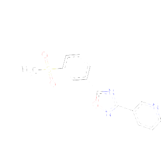 CS(=O)(=O)c1cccc(-c2nc(-c3cccnc3)no2)c1